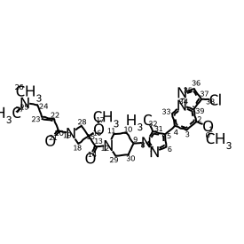 COc1cc(-c2cnn(C3CCN(C(=O)C4(OC)CN(C(=O)/C=C/CN(C)C)C4)CC3)c2C)cn2ncc(Cl)c12